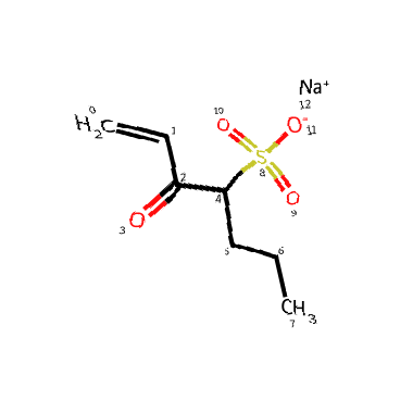 C=CC(=O)C(CCC)S(=O)(=O)[O-].[Na+]